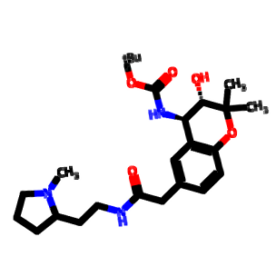 CN1CCCC1CCNC(=O)Cc1ccc2c(c1)[C@@H](NC(=O)OC(C)(C)C)[C@H](O)C(C)(C)O2